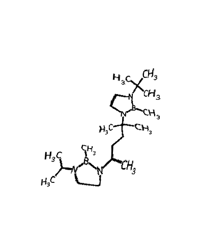 CB1N(C(C)C)CCN1C(C)CCC(C)(C)N1CCN(C(C)(C)C)B1C